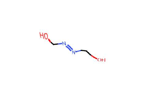 OCN=NCO